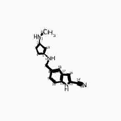 CN[C@@H]1CC[C@H](NCc2ccc3[nH]c(C#N)cc3c2)C1